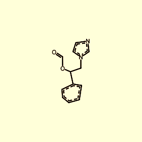 O=COC(Cn1ccnc1)c1ccccc1